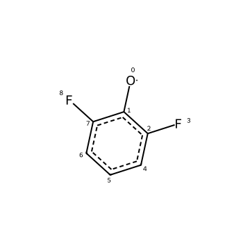 [O]c1c(F)cccc1F